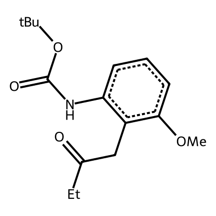 CCC(=O)Cc1c(NC(=O)OC(C)(C)C)cccc1OC